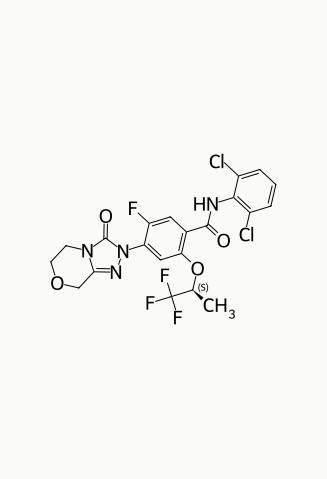 C[C@H](Oc1cc(-n2nc3n(c2=O)CCOC3)c(F)cc1C(=O)Nc1c(Cl)cccc1Cl)C(F)(F)F